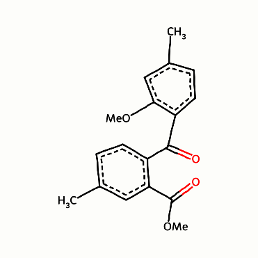 COC(=O)c1cc(C)ccc1C(=O)c1ccc(C)cc1OC